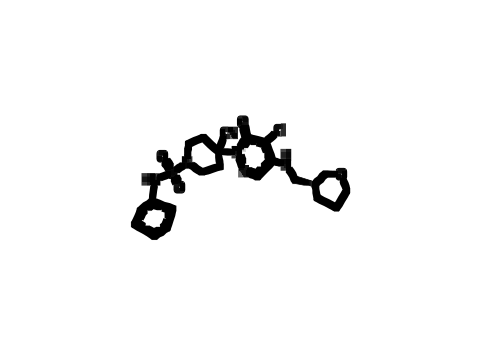 N#CC1(n2ncc(NC[C@@H]3CCCOC3)c(Cl)c2=O)CCN(S(=O)(=O)Nc2ccccc2)CC1